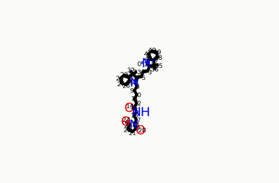 C[N+]1=C(/C=C/C=C2/N(CCCCCC(=O)NCCN3C(=O)C=CC3=O)c3ccccc3C2(C)C)C(C)(C)c2ccccc21